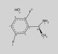 C[C@H](N)c1cc(F)ccc1F.Cl